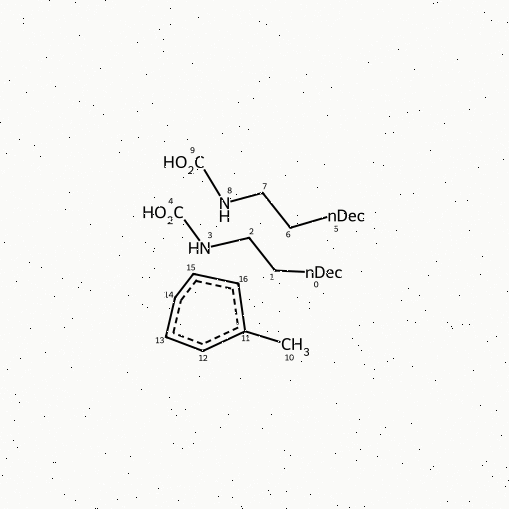 CCCCCCCCCCCCNC(=O)O.CCCCCCCCCCCCNC(=O)O.Cc1ccccc1